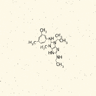 CCNc1nc2c([nH]1)N(C)C(NC1=CC(C)=C=C(C)C=C1)N2C(C)C